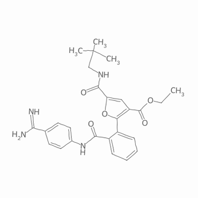 CCOC(=O)c1cc(C(=O)NCC(C)(C)C)oc1-c1ccccc1C(=O)Nc1ccc(C(=N)N)cc1